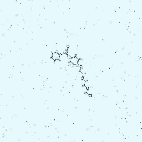 O=c1c(-c2ccccc2)c1-c1ccc(OCCOCCOCCl)cc1